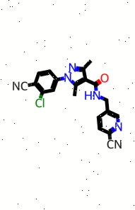 Cc1nn(-c2ccc(C#N)c(Cl)c2)c(C)c1C(=O)NCc1ccc(C#N)nc1